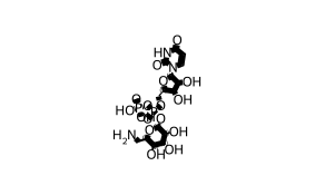 NC[C@H]1O[C@@H](OP(=O)(OC[C@@H]2O[C@H](n3ccc(=O)[nH]c3=O)C(O)C2O)OP(=O)(O)O)[C@H](O)[C@@H](O)[C@@H]1O